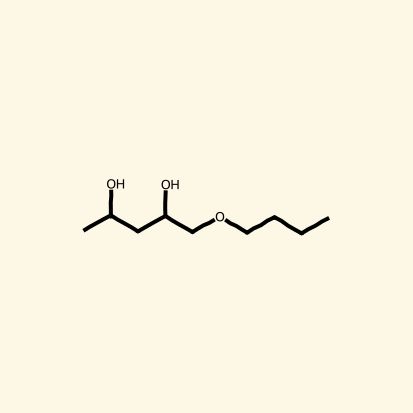 CCCCOCC(O)C[C](C)O